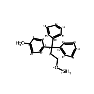 Cc1ccc(C(CCO[SiH3])(c2ccccc2)c2ccccc2)cc1